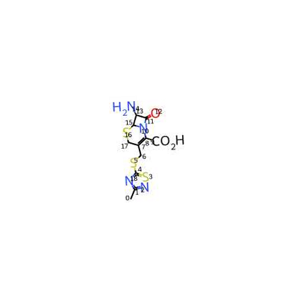 Cc1nsc(SCC2=C(C(=O)O)N3C(=O)C(N)C3SC2)n1